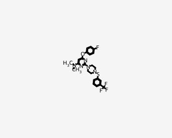 CN(C)c1cc(Oc2ccc(F)cc2)nc(N2CCN(Sc3cccc(C(F)(F)F)c3)CC2)n1